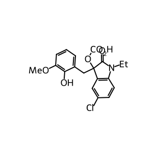 CCN1C(=O)C(Cc2cccc(OC)c2O)(OC(=O)O)c2cc(Cl)ccc21